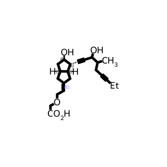 CCC#CCC(C)C(O)C#C[C@@H]1[C@H]2C/C(=C/COCC(=O)O)C[C@H]2C[C@H]1O